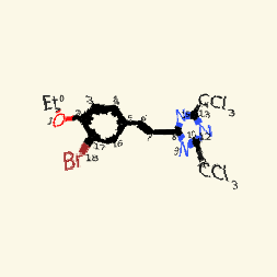 CCOc1ccc(C=Cc2nc(C(Cl)(Cl)Cl)nc(C(Cl)(Cl)Cl)n2)cc1Br